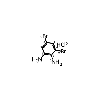 Cl.Nc1cc(Br)cc(Br)c1N